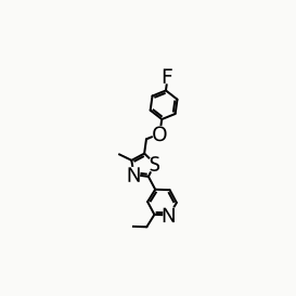 CCc1cc(-c2nc(C)c(COc3ccc(F)cc3)s2)ccn1